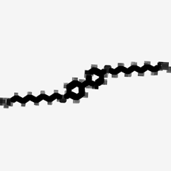 CCCCCCCCOc1ccc(-c2ncc(OCCCCCCCC)cn2)cc1